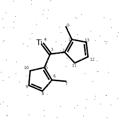 CC1=C([C](=[Ti])C2=C(C)C=CC2)CC=C1